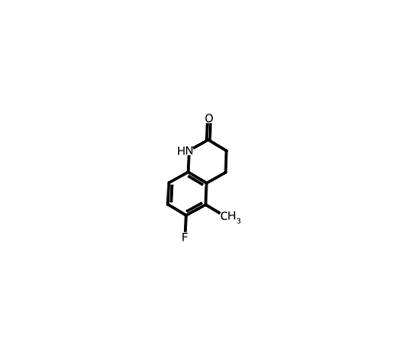 Cc1c(F)ccc2c1CCC(=O)N2